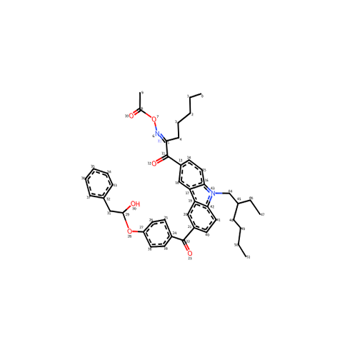 CCCCC/C(=N\OC(C)=O)C(=O)c1ccc2c(c1)c1cc(C(=O)c3ccc(OC(O)Cc4ccccc4)cc3)ccc1n2CC(CC)CCCC